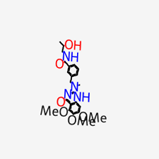 COc1cc2[nH]c(N(C)Cc3cccc(C(=O)NCC(C)O)c3)nc(=O)c2c(OC)c1OC